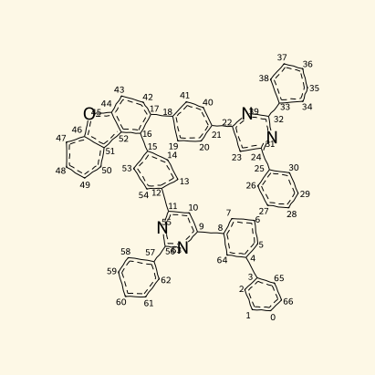 c1ccc(-c2cccc(-c3cc(-c4ccc(-c5c(-c6ccc(-c7cc(-c8ccccc8)nc(-c8ccccc8)n7)cc6)ccc6oc7ccccc7c56)cc4)nc(-c4ccccc4)n3)c2)cc1